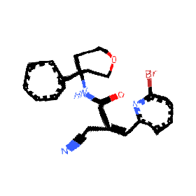 N#CC(=Cc1cccc(Br)n1)C(=O)NC1(c2ccccc2)CCOC1